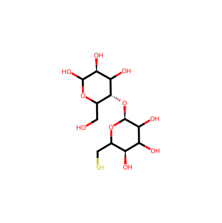 OCC1OC(O)[C@@H](O)C(O)[C@@H]1O[C@@H]1OC(CS)[C@H](O)C(O)C1O